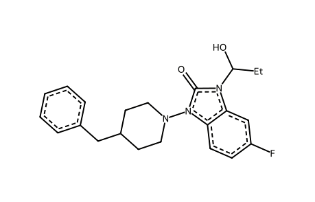 CCC(O)n1c(=O)n(N2CCC(Cc3ccccc3)CC2)c2ccc(F)cc21